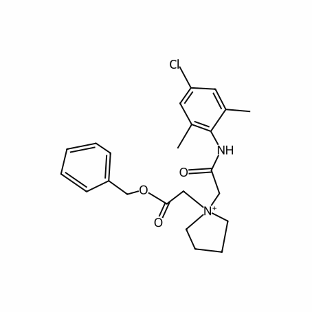 Cc1cc(Cl)cc(C)c1NC(=O)C[N+]1(CC(=O)OCc2ccccc2)CCCC1